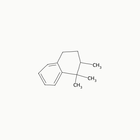 CC1CCc2ccccc2C1(C)C